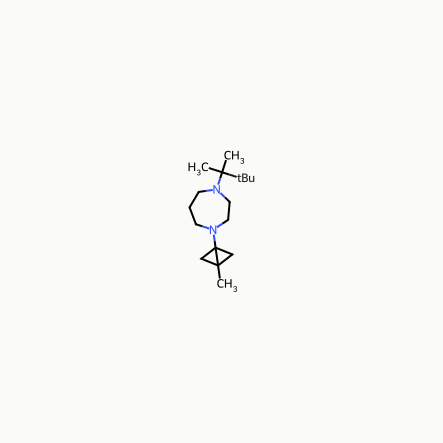 CC(C)(C)C(C)(C)N1CCCN(C23CC2(C)C3)CC1